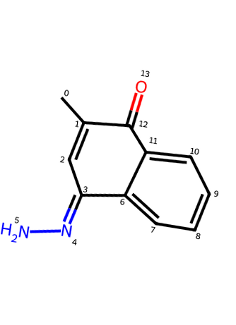 CC1=C/C(=N\N)c2ccccc2C1=O